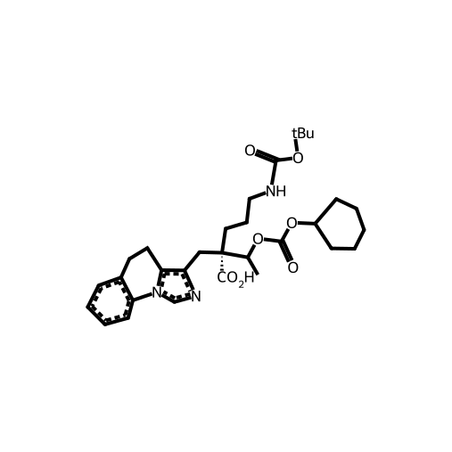 CC(OC(=O)OC1CCCCC1)[C@](CCCNC(=O)OC(C)(C)C)(Cc1ncn2c1CCc1ccccc1-2)C(=O)O